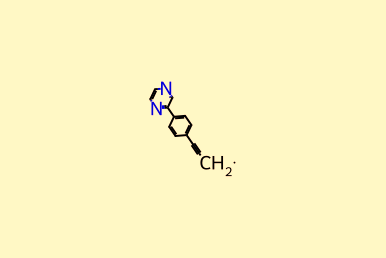 [CH2]C#Cc1ccc(-c2cnccn2)cc1